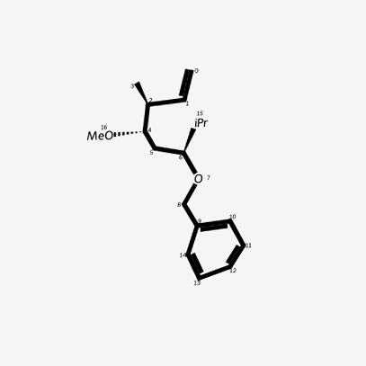 C=C[C@H](C)[C@H](C[C@H](OCc1ccccc1)C(C)C)OC